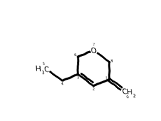 C=C1C=C(CC)COC1